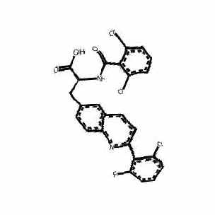 O=C(N[C@@H](Cc1ccc2nc(-c3c(F)cccc3Cl)ccc2c1)C(=O)O)c1c(Cl)cccc1Cl